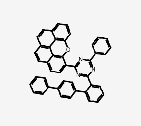 c1ccc(-c2ccc(-c3ccccc3-c3nc(-c4ccccc4)nc(-c4ccc5ccc6ccc7cccc8c7c6c5c4O8)n3)cc2)cc1